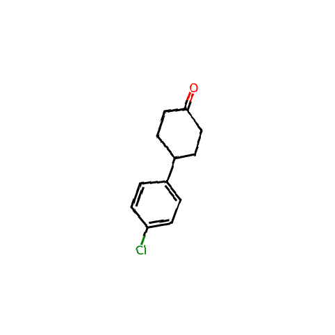 O=C1CCC(c2ccc(Cl)cc2)CC1